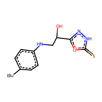 CC(C)(C)c1ccc(NCC(O)c2n[nH]c(=S)o2)cc1